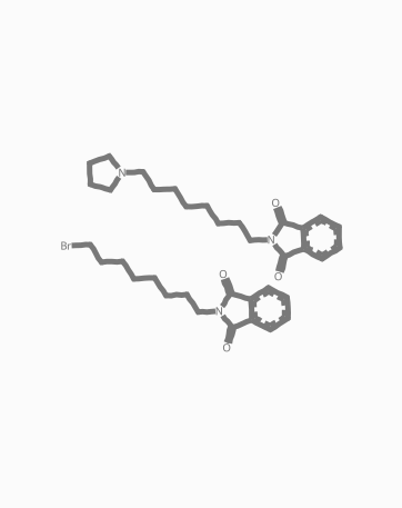 O=C1c2ccccc2C(=O)N1CCCCCCCCBr.O=C1c2ccccc2C(=O)N1CCCCCCCCN1CCCC1